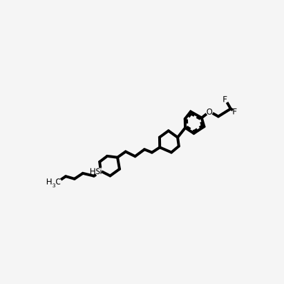 CCCCC[SiH]1CCC(CCCCC2CCC(c3ccc(OCC(F)F)cc3)CC2)CC1